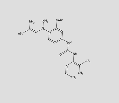 C/C=C\C(NC(=O)Nc1ccc(N(N)/C=C(\N)CCCC)c(OC)c1)=C(/C)C(F)(F)F